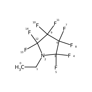 CCN1C(F)(F)C(F)(F)C(F)(F)C1(F)F